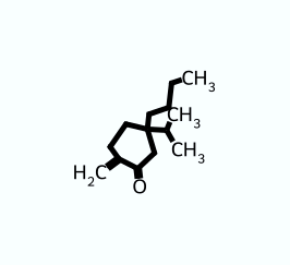 C=C1CCC(CCCC)(C(C)C)CC1=O